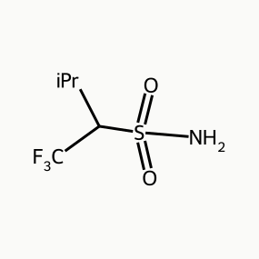 CC(C)C(C(F)(F)F)S(N)(=O)=O